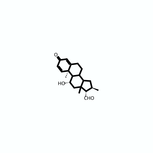 C[C@@H]1CC2C3CCC4=CC(=O)C=C[C@]4(C)C3[C@@H](O)CC2(C)[C@H]1C=O